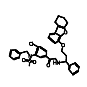 CS(=O)(=O)N(Cc1ccccc1)c1cc(C(=O)CNC(CCOc2cccc3c4c(oc23)CCCC4)c2ccccc2)ccc1Cl